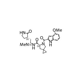 CN[C@H](C[C@@H]1CCNC1=O)NC(=O)[C@@H]1CC2(CC2)CN1C(=O)c1cc2c(OC)cccc2[nH]1